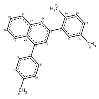 Cc1ccc(-c2cc(-c3cc(C)ccc3C)nc3ccccc23)cc1